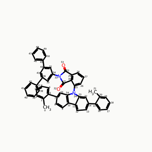 Cc1ccccc1-c1ccc2c3ccc(-c4ccccc4C)cc3n(-c3cccc4c3C(=O)N(c3cc(-c5ccccc5)cc(-c5ccccc5)c3)C4=O)c2c1